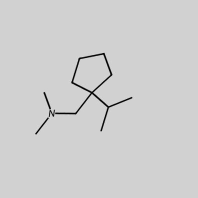 CC(C)C1(CN(C)C)CCCC1